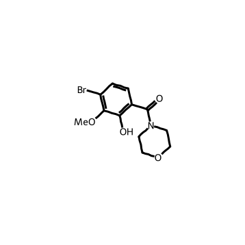 COc1c(Br)ccc(C(=O)N2CCOCC2)c1O